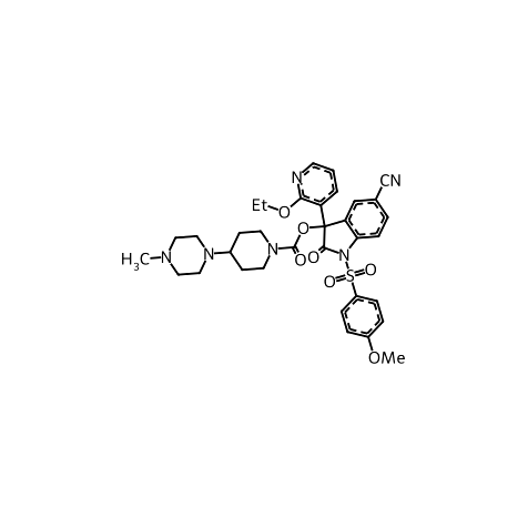 CCOc1ncccc1C1(OC(=O)N2CCC(N3CCN(C)CC3)CC2)C(=O)N(S(=O)(=O)c2ccc(OC)cc2)c2ccc(C#N)cc21